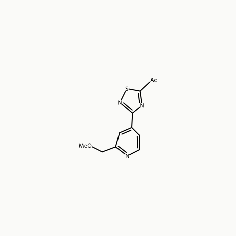 COCc1cc(-c2nsc(C(C)=O)n2)ccn1